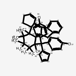 CC12C(=C3Cc4ccccc4C3=C3C=CCCC31)C(C)(C(C1=CC=CC1)(c1ccc(Cl)cc1)c1ccc(Cl)cc1)C(C)(C)C(C)(C)C2(C)C